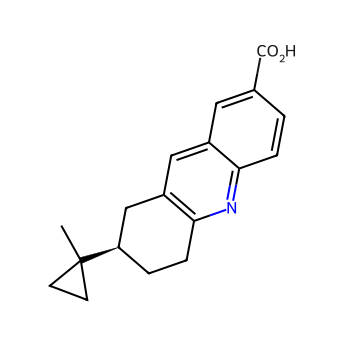 CC1([C@@H]2CCc3nc4ccc(C(=O)O)cc4cc3C2)CC1